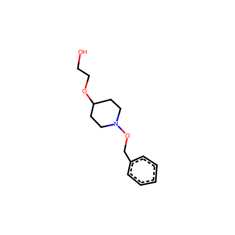 OCCOC1CCN(OCc2ccccc2)CC1